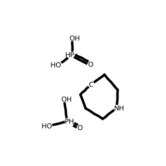 C1CCCNCC1.O=[PH](O)O.O=[PH](O)O